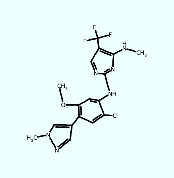 CNc1nc(Nc2cc(OC)c(-c3cnn(C)c3)cc2Cl)ncc1C(F)(F)F